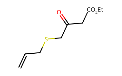 C=CCSCC(=O)CC(=O)OCC